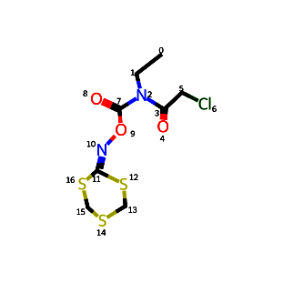 CCN(C(=O)CCl)C(=O)ON=C1SCSCS1